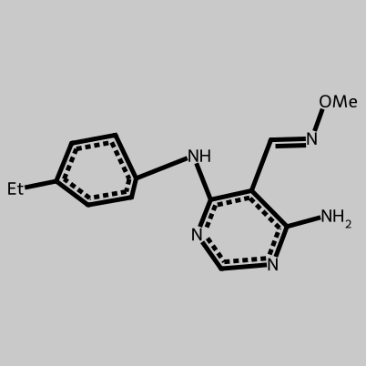 CCc1ccc(Nc2ncnc(N)c2/C=N/OC)cc1